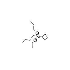 CCCC[Si](OCC)(OCCC)C1CCC1